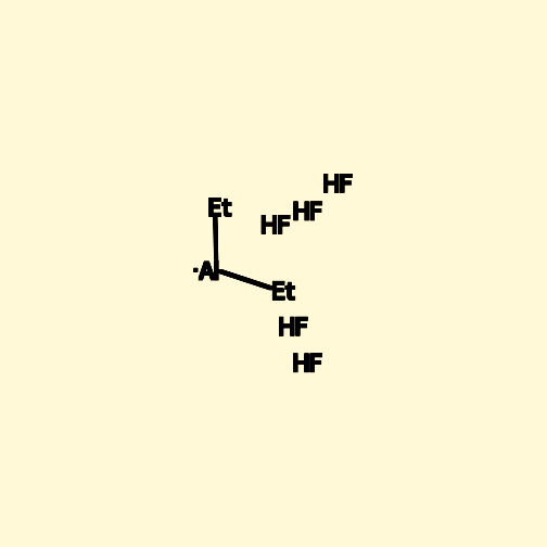 C[CH2][Al][CH2]C.F.F.F.F.F